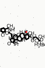 CC(C)C1=C2[C@H]3CC[C@@H]4[C@@]5(C)CC[C@H](OC(=O)CC(C)(C)C(=O)OC(C)(C)C)C(C)(C)[C@@H]5CC[C@@]4(C)[C@]3(C)CC[C@@]2(C=CC(=O)N[C@H](C)c2cccc(Cl)c2)CC1=O